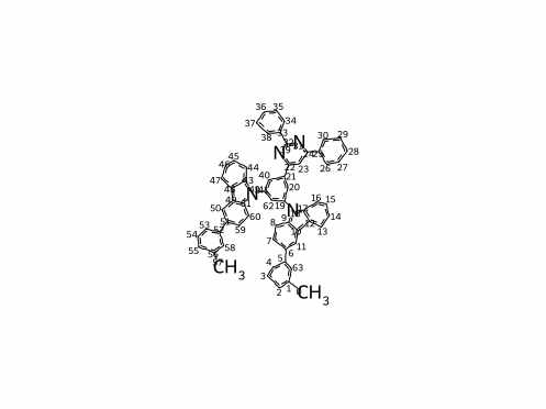 Cc1cccc(-c2ccc3c(c2)c2ccccc2n3-c2cc(-c3cc(-c4ccccc4)nc(-c4ccccc4)n3)cc(-n3c4ccccc4c4cc(-c5cccc(C)c5)ccc43)c2)c1